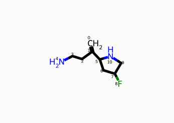 C=C(CCN)C1CC(F)CN1